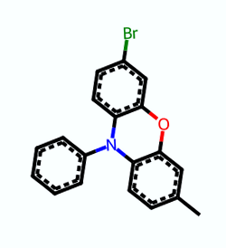 Cc1ccc2c(c1)Oc1cc(Br)ccc1N2c1ccccc1